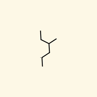 C[CH]CC(C)CC